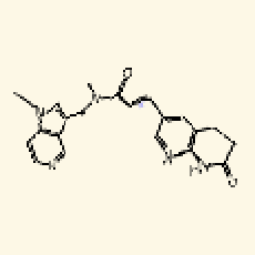 CN(Cc1cn(C)c2ccncc12)C(=O)/C=C/c1cnc2c(c1)CCC(=O)N2